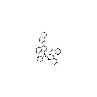 c1ccc(-c2ccccc2N(c2ccc(-c3ccc4ccccc4c3)cc2)c2cc3ccccc3c3c2ccc2ccccc23)cc1